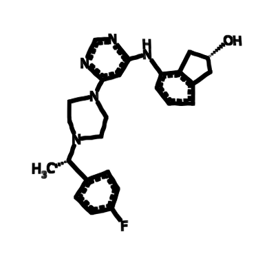 C[C@@H](c1ccc(F)cc1)N1CCN(c2cc(Nc3cccc4c3C[C@H](O)C4)ncn2)CC1